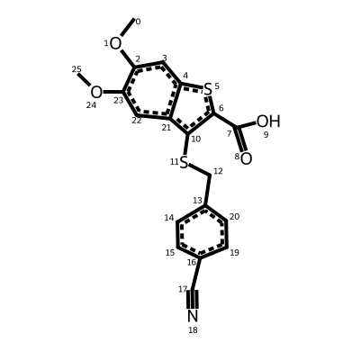 COc1cc2sc(C(=O)O)c(SCc3ccc(C#N)cc3)c2cc1OC